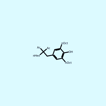 CCCCCCCCc1cc(CC(CCCCCC)(C(C)=O)C(C)=O)cc(CCCCCCCC)c1O